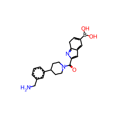 NCc1cccc(C2CCN(C(=O)C3=CC4=CC(B(O)O)=CCC4=N3)CC2)c1